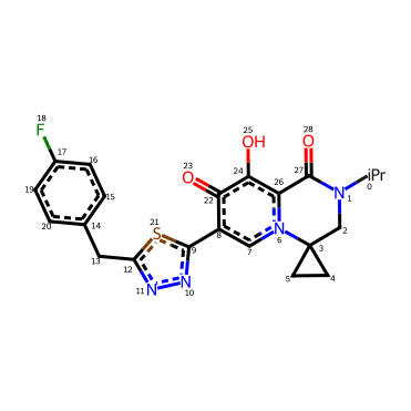 CC(C)N1CC2(CC2)n2cc(-c3nnc(Cc4ccc(F)cc4)s3)c(=O)c(O)c2C1=O